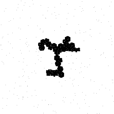 CCCCCCCC1(CCCCCCC)c2ccccc2-c2ccc(-c3ccc4c(c3)C(C)(C)c3cc(-c5ccc(N(c6ccc7c(c6)C(C)(C)c6cc8c(cc6-7)C(C)(C)c6ccc7oc9ccccc9c7c6-8)c6ccc7c(c6)C(CCCCCCC)(CCCCCCC)c6c8c(c9c(oc%10ccccc%109)c6-7)-c6ccccc6C8(CCCCCCC)CCCCCCC)cc5)ccc3-4)cc21